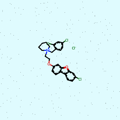 Clc1ccc(C[N+]2(CCOc3ccc4c(c3)oc3cc(Cl)ccc34)CCCCC2)c(Cl)c1.[Cl-]